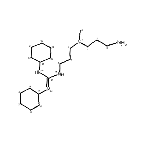 CN(CCCN)CCCN/C(=N/C1CCCCC1)NC1CCCCC1